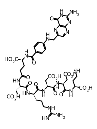 N=C(N)NCCC[C@H](NC(=O)[C@H](CC(=O)O)NC(=O)CC[C@H](NC(=O)c1ccc(NCc2cnc3nc(N)[nH]c(=O)c3n2)cc1)C(=O)O)C(=O)N[C@@H](CC(=O)O)C(=O)N[C@@H](CC(=O)O)C(=O)N[C@@H](CCS)C(=O)O